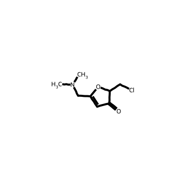 CN(C)CC1=CC(=O)C(CCl)O1